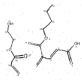 C=C(C=CC(=O)O)C(=O)OCCCC.C=CC(=O)OCCO